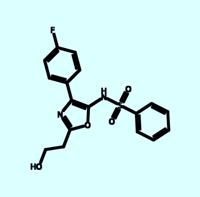 O=S(=O)(Nc1oc(CCO)nc1-c1ccc(F)cc1)c1ccccc1